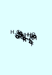 CN1CCc2[nH]c(-c3ccnc(CC[C@H](CNC(=O)c4ccccc4O)c4ccc(F)cc4)c3)c(Nc3ccccc3)c2C1=O